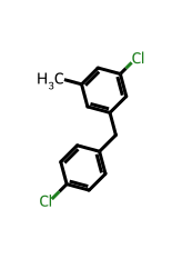 Cc1cc(Cl)cc(Cc2ccc(Cl)cc2)c1